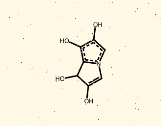 OC1=Cn2cc(O)c(O)c2C1O